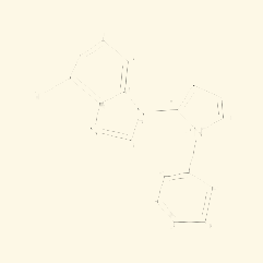 Brc1cccc2c1ncn2-c1cccn1-c1ccccc1